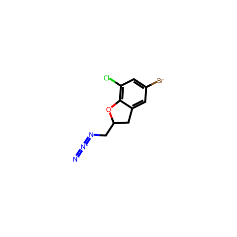 [N-]=[N+]=NCC1Cc2cc(Br)cc(Cl)c2O1